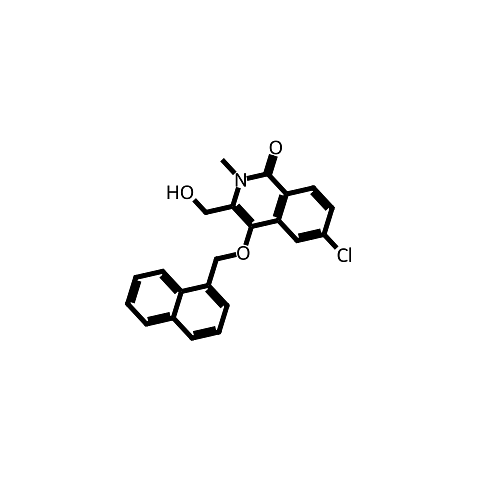 Cn1c(CO)c(OCc2cccc3ccccc23)c2cc(Cl)ccc2c1=O